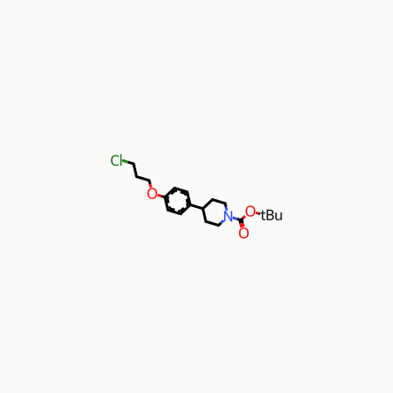 CC(C)(C)OC(=O)N1CCC(c2ccc(OCCCCl)cc2)CC1